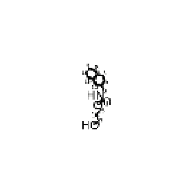 O=C(NCc1ccc2ccccc2c1)OCCCO